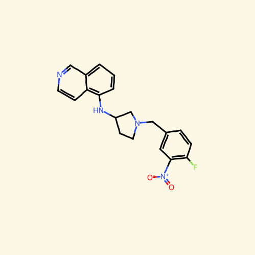 O=[N+]([O-])c1cc(CN2CCC(Nc3cccc4cnccc34)C2)ccc1F